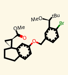 COC(=O)[C@@H]1C[C@]12CCCc1ccc(OCc3ccc(Br)c([C@@H](OC)C(C)(C)C)c3)cc12